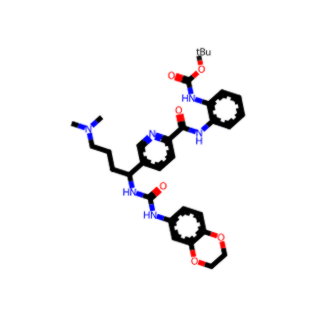 CN(C)CCCC(NC(=O)Nc1ccc2c(c1)OCCO2)c1ccc(C(=O)Nc2ccccc2NC(=O)OC(C)(C)C)nc1